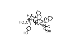 C[C@@H](C(=O)N[C@@H](Cc1ccc(O)cc1)C(=O)O)N1C(=O)[C@@H](N(C)C(=O)[C@H](Cc2ccccc2)NC(=O)OC(C)(C)C)Cc2ccccc21